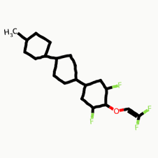 CC1CCC(C2CCC(C3CC(F)C(OC=C(F)F)C(F)C3)CC2)CC1